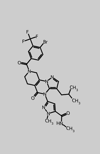 CNC(=O)c1cc(-n2c(=O)c3c(n4ncc(CC(C)C)c24)CN(C(=O)c2ccc(Br)c(C(F)(F)F)c2)CC3)nn1C